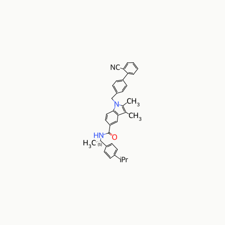 Cc1c(C)n(Cc2ccc(-c3ccccc3C#N)cc2)c2ccc(C(=O)N[C@@H](C)c3ccc(C(C)C)cc3)cc12